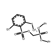 CCc1cccc(SC(F)(F)F)c1S(=O)(=O)OCP(=O)(OC(C)C)OC(C)C